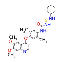 COc1cc2nccc(Oc3cc(C)c(NC(=O)NSNC4CCCCC4)cc3C)c2cc1OC